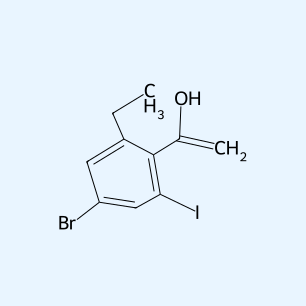 C=C(O)c1c(I)cc(Br)cc1CC